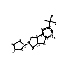 CC(C)(C)c1cnc2c(c1)C1CC(N3CCCC3)CC1C2